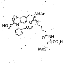 CCc1cc(C[C@H](NC(C)=O)C(=O)NCCCCC(=O)N[C@@H](CCSC)C(=O)O)ccc1N(C(=O)C(=O)O)c1ccccc1C(=O)O